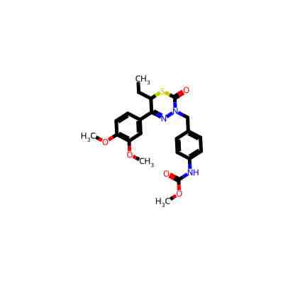 CCC1SC(=O)N(Cc2ccc(NC(=O)OC)cc2)N=C1c1ccc(OC)c(OC)c1